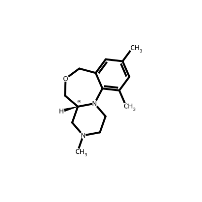 Cc1cc(C)c2c(c1)COC[C@H]1CN(C)CCN21